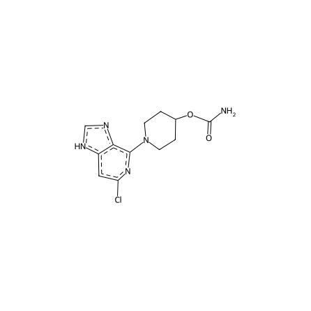 NC(=O)OC1CCN(c2nc(Cl)cc3[nH]cnc23)CC1